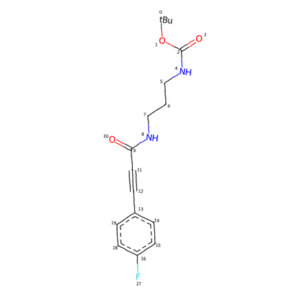 CC(C)(C)OC(=O)NCCCNC(=O)C#Cc1ccc(F)cc1